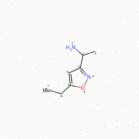 CC(N)c1cc(CC(C)(C)C)on1